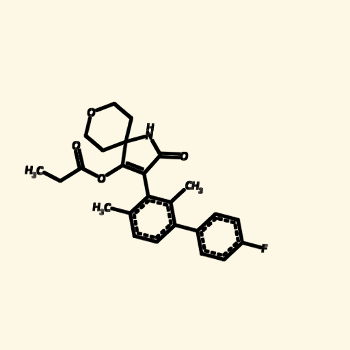 CCC(=O)OC1=C(c2c(C)ccc(-c3ccc(F)cc3)c2C)C(=O)NC12CCOCC2